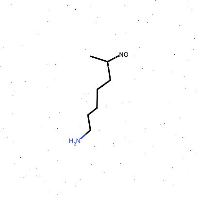 CC(CCCCCN)N=O